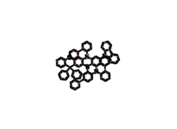 c1ccc(-c2ccc3c(c2)B2c4cc5c(cc4N(c4ccccc4-c4ccccc4)c4cc(-n6c7ccccc7c7ccccc76)cc(c42)N3c2ccccc2-c2ccccc2)Oc2ccccc2C5(c2ccccc2)c2ccccc2)cc1